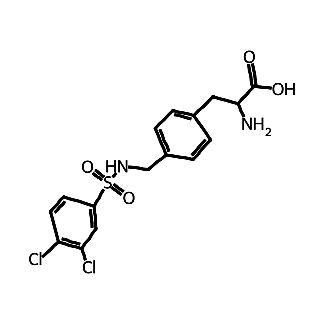 NC(Cc1ccc(CNS(=O)(=O)c2ccc(Cl)c(Cl)c2)cc1)C(=O)O